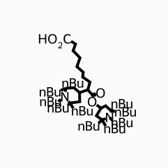 CCCCN1C(CCCC)(CCCC)CC(OC(=O)C(CCCCCCCC(=O)O)C2CC(CCCC)(CCCC)N(CCCC)C(CCCC)(CCCC)C2)CC1(CCCC)CCCC